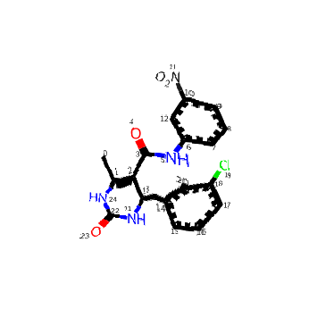 CC1=C(C(=O)Nc2cccc([N+](=O)[O-])c2)C(c2cccc(Cl)c2)NC(=O)N1